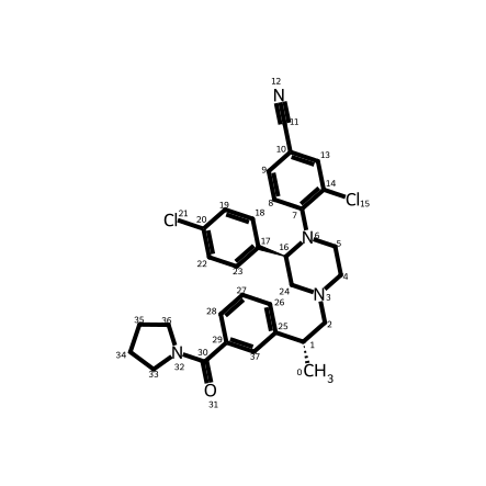 C[C@@H](CN1CCN(c2ccc(C#N)cc2Cl)[C@H](c2ccc(Cl)cc2)C1)c1cccc(C(=O)N2CCCC2)c1